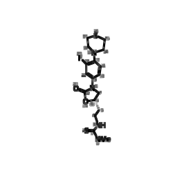 CNC(=S)NCC[C@H]1CN(c2ccc(N3CCSCC3)c(F)c2)C(=O)O1